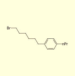 CCCc1ccc(CCCCCCBr)cc1